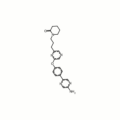 Nc1cnc(-c2ccc(Oc3cncc(CCCN4CCCCC4=O)n3)cc2)cn1